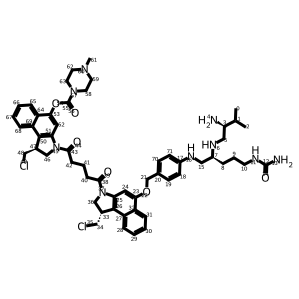 CC(C)[C@H](N)CN[C@@H](CCCNC(N)=O)CNc1ccc(COc2cc3c(c4ccccc24)[C@H](CCl)CN3C(=O)CCCC(=O)N2C[C@@H](CCl)c3c2cc(OC(=O)N2CCN(C)CC2)c2ccccc32)cc1